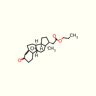 CCCOC(=O)C[C@@H]1CC[C@H]2[C@@H]3CCC4=CC(=O)CC[C@]4(C)[C@H]3CC[C@]12C